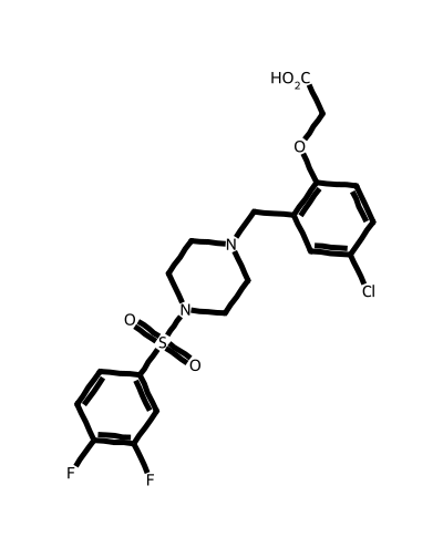 O=C(O)COc1ccc(Cl)cc1CN1CCN(S(=O)(=O)c2ccc(F)c(F)c2)CC1